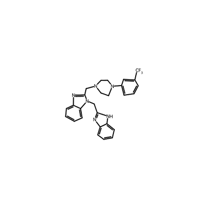 FC(F)(F)c1cccc(N2CCN(Cc3nc4ccccc4n3Cc3nc4ccccc4[nH]3)CC2)c1